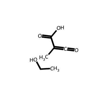 CC(=C=O)C(=O)O.CCO